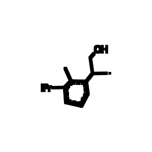 [CH2]C(CO)c1cccc(C(C)C)c1C